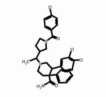 CC(C1CCN(C(=O)c2ccc(Cl)cc2)C1)N1CCC(C(N)=O)(c2ccccc2)C(c2ccc(Cl)c(Cl)c2)C1